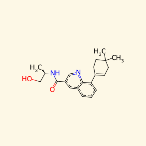 C[C@H](CO)NC(=O)c1cnc2c(C3=CCC(C)(C)CC3)cccc2c1